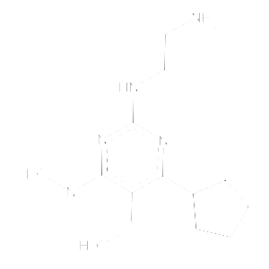 CNc1nc(NCCN)nc(C2CCCC2)c1OC